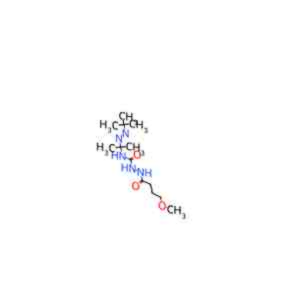 COCCCC(=O)NNC(=O)NC(C)(C)/N=N/C(C)(C)C